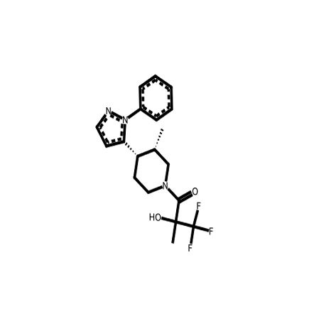 C[C@@H]1CN(C(=O)C(C)(O)C(F)(F)F)CC[C@@H]1c1ccnn1-c1ccccc1